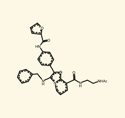 CC(=O)NCCNC(=O)c1cccn2c(NCc3ccccc3)c(-c3ccc(NC(=O)c4ccco4)cc3)nc12